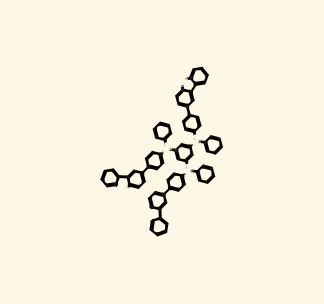 c1ccc(N(c2ccc(-c3ccc4oc5ccccc5c4c3)cc2)c2cc(N(c3ccccc3)c3ccc(-c4ccc5oc6ccccc6c5c4)cc3)cc(N(c3ccccc3)c3ccc(-c4ccc5oc6ccccc6c5c4)cc3)c2)cc1